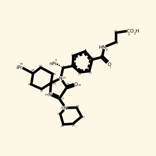 CCC[C@H](c1ccc(C(=O)NCCC(=O)O)cc1)N1C(=O)C(N2CCCCC2)=NC12CCC(C(C)C)CC2